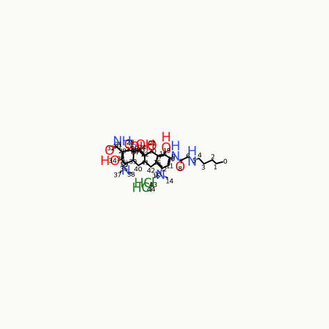 CCCCCNCC(=O)Nc1cc(N(C)C)c2c(c1O)C(=O)C1=C(O)[C@]3(O)C(=O)C(C(N)=O)=C(O)[C@@H](N(C)C)C3CC1C2.Cl.Cl